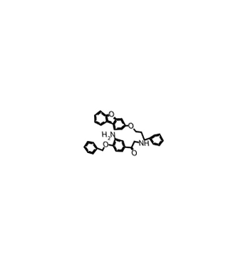 Nc1cc(C(=O)CNC(CCOc2ccc3c(c2)oc2ccccc23)c2ccccc2)ccc1OCc1ccccc1